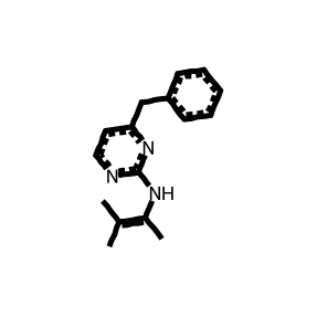 CC(C)=C(C)Nc1nccc(Cc2ccccc2)n1